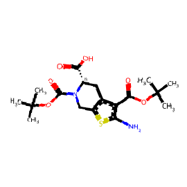 CC(C)(C)OC(=O)c1c(N)sc2c1C[C@@H](C(=O)O)N(C(=O)OC(C)(C)C)C2